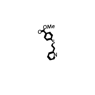 COC(=O)c1ccc(SCCc2ccccn2)cc1